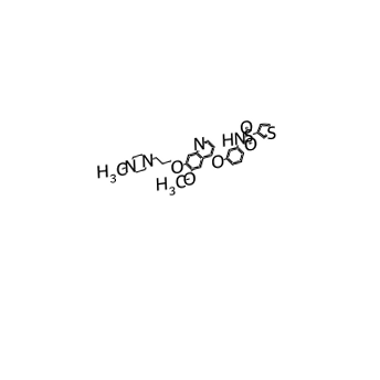 COc1cc2c(Oc3cccc(NS(=O)(=O)c4ccsc4)c3)ccnc2cc1OCCCN1CCN(C)CC1